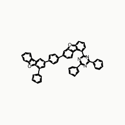 c1ccc(-c2nc(-c3ccccc3)nc(-c3cccc4oc5cc(-c6ccc(-c7cc(-c8ccccc8)c8oc9ccccc9c8c7)cc6)ccc5c34)n2)cc1